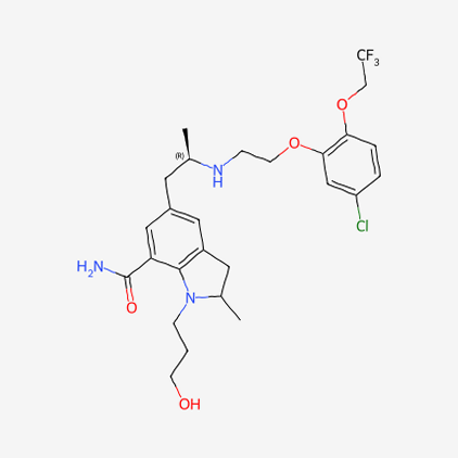 CC1Cc2cc(C[C@@H](C)NCCOc3cc(Cl)ccc3OCC(F)(F)F)cc(C(N)=O)c2N1CCCO